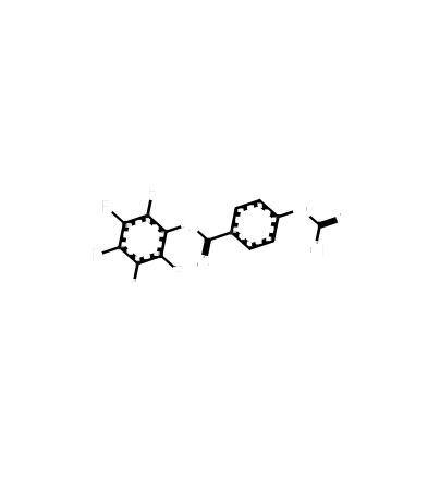 O=C(Oc1c(F)c(F)c(F)c(F)c1F)c1ccc(OC(=S)Cl)cc1